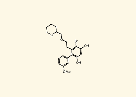 COc1cccc(-c2c(O)cc(O)c(Br)c2CCOCC2CCCCO2)c1